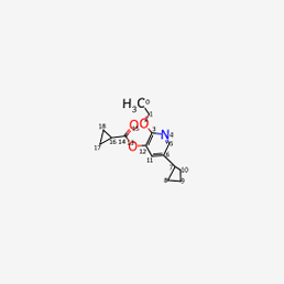 CCOc1ncc(C2CCC2)cc1OC(=O)C1CC1